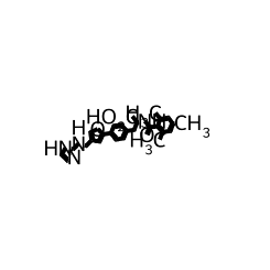 Cc1cc(C)c(C(=O)NC(Cc2ccc(-c3cc(CNc4ncc[nH]4)co3)cc2)C(=O)O)c(C)c1